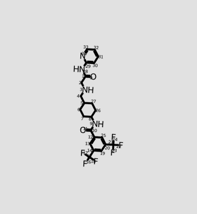 O=C(CNCC1CCC(NC(=O)c2cc(C(F)(F)F)cc(C(F)(F)F)c2)CC1)Nc1ccccn1